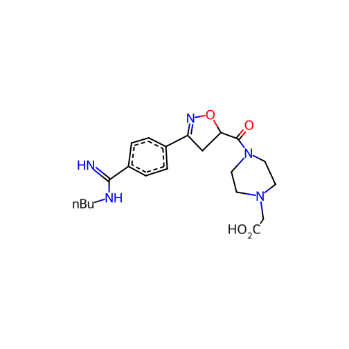 CCCCNC(=N)c1ccc(C2=NOC(C(=O)N3CCN(CC(=O)O)CC3)C2)cc1